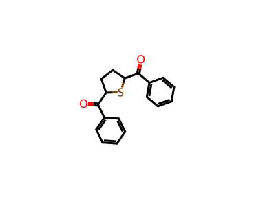 O=C(c1ccccc1)C1CCC(C(=O)c2ccccc2)S1